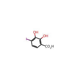 O=C(O)c1ccc(I)c(O)c1O